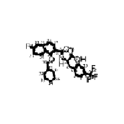 O=C(NC(Cc1ccc(C(F)(F)F)cc1)C(=O)O)c1ccc2cc(F)ccc2c1OCC1CCCCC1